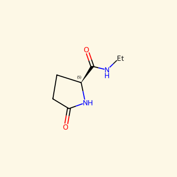 [CH2]CNC(=O)[C@@H]1CCC(=O)N1